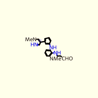 CN/C=C(\C=N)c1cccc(Nc2cccc(NC)c2NCCC=O)c1